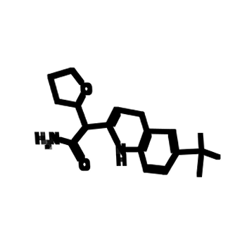 CC(C)(C)c1ccc2c(c1)CC=C(C(C(N)=O)C1CCCO1)N2